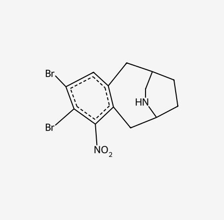 O=[N+]([O-])c1c(Br)c(Br)cc2c1CC1CCC(CN1)C2